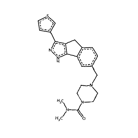 CN(C)C(=O)N1CCN(Cc2ccc3c(c2)-c2[nH]nc(-c4ccsc4)c2C3)CC1